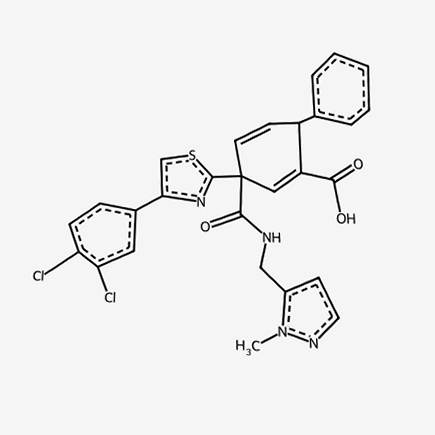 Cn1nccc1CNC(=O)C1(c2nc(-c3ccc(Cl)c(Cl)c3)cs2)C=CC(c2ccccc2)C(C(=O)O)=C1